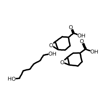 O=C(O)C1CCC2OC2C1.O=C(O)C1CCC2OC2C1.OCCCCCCO